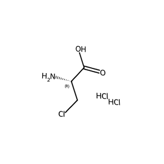 Cl.Cl.N[C@@H](CCl)C(=O)O